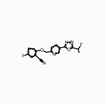 CC(F)c1nnc(-c2ccc(COc3ccc(F)cc3C#N)nc2)o1